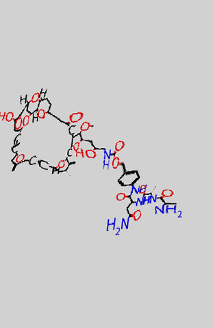 C=C1CC2CC[C@]34C[C@@H](O)C(O3)[C@H]3CC(O4)[C@H]4OC(CC[C@@H]4O3)CC(=O)CC3C(CC4O[C@@H](CCC1O2)C[C@@H](C)C4=C)O[C@H](CC(O)CNC(=O)OCc1ccc(NC(=O)C(CC(N)=O)NC(=O)[C@H](C)NC(=O)C(C)N)cc1)[C@@H]3OC